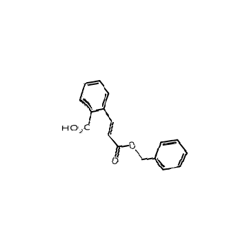 O=C(C=Cc1ccccc1C(=O)O)OCc1ccccc1